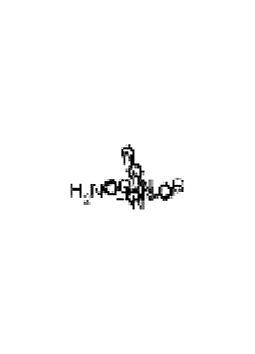 COc1ccc(Cn2nc(N3CCC(N4CCCC4)CC3)c3c(Oc4ccc(N)cc4F)ccnc32)cc1